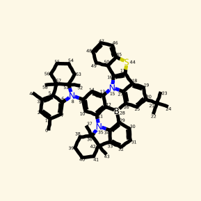 Cc1cc(C)c2c(c1)N(c1cc3c4c(c1)-n1c5c(c6cc(C(C)(C)C)cc(c61)B4c1cccc4c1N3C1(C)CCCCC41C)SC1=CC=CCC15)C1(C)CCCCC21C